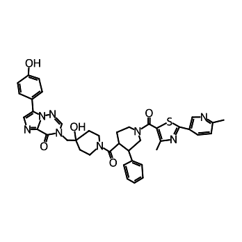 Cc1ccc(-c2nc(C)c(C(=O)N3CCC(C(=O)N4CCC(O)(Cn5cnn6c(-c7ccc(O)cc7)cnc6c5=O)CC4)C(c4ccccc4)C3)s2)cn1